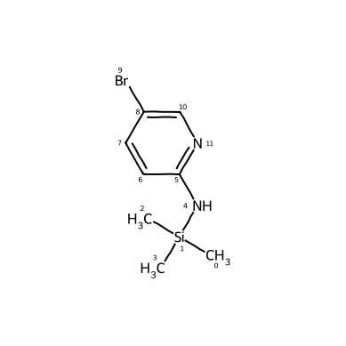 C[Si](C)(C)Nc1ccc(Br)cn1